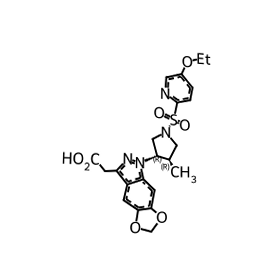 CCOc1ccc(S(=O)(=O)N2C[C@@H](C)[C@@H](n3nc(CC(=O)O)c4cc5c(cc43)OCO5)C2)nc1